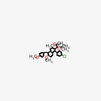 COc1ccc(Cc2c(OC)ccc3c(-c4ccc(Cl)cc4)c(C(OC(C)(C)C)C(C)=O)c(C)cc23)cc1